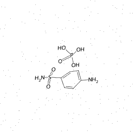 Nc1ccc(S(N)(=O)=O)cc1.O=P(O)(O)O